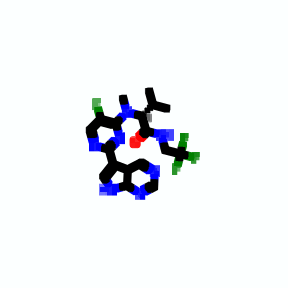 CC(C)[C@H](C(=O)NCC(F)(F)F)N(C)c1nc(C2=CNC3N=CN=CC23)ncc1F